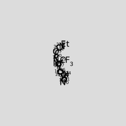 CCN1CCC(OC2CN(c3ncc(-c4ccc5c6cnccc6n(C)c5c4)cc3C(F)(F)F)C2)CC1